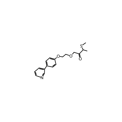 CSC(C)C(=O)COCCOc1ccc(-c2cccnc2)cc1